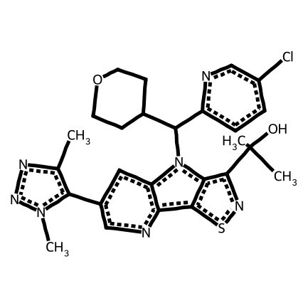 Cc1nnn(C)c1-c1cnc2c3snc(C(C)(C)O)c3n(C(c3ccc(Cl)cn3)C3CCOCC3)c2c1